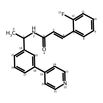 CC(NC(=O)C=Cc1ccccc1F)c1cccc(-c2ccncc2)c1